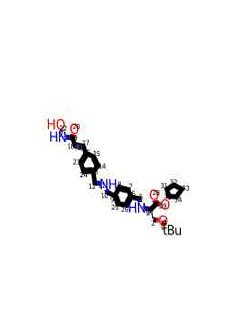 CC(C)(C)OC[C@H](NCc1ccc(CNCc2ccc(/C=C/C(=O)NO)cc2)cc1)C(=O)OC1CCCC1